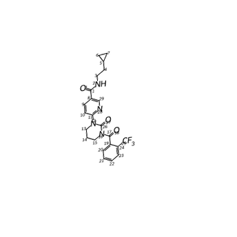 O=C(NCCC1CC1)c1ccc(N2CCCN(C(=O)c3ccccc3C(F)(F)F)C2=O)nc1